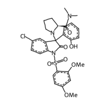 COc1ccc(S(=O)(=O)N2C(=O)C(c3ccccc3O)(N3CCC[C@H]3C(=O)N(C)C)c3cc(Cl)ccc32)c(OC)c1